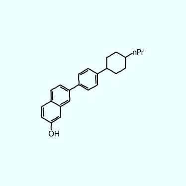 CCCC1CCC(c2ccc(-c3ccc4ccc(O)cc4c3)cc2)CC1